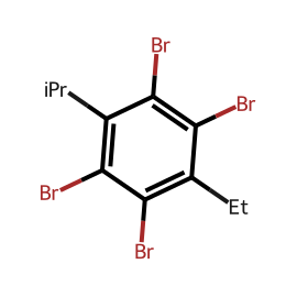 CCc1c(Br)c(Br)c(C(C)C)c(Br)c1Br